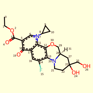 CCOC(=O)c1cn(C2CC2)c2c3c(c(F)cc2c1=O)N1CCC(O)(CO)C[C@@H]1CO3